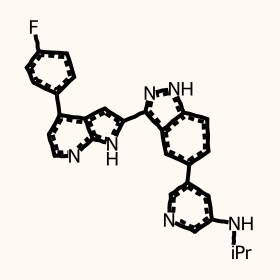 CC(C)Nc1cncc(-c2ccc3[nH]nc(-c4cc5c(-c6ccc(F)cc6)ccnc5[nH]4)c3c2)c1